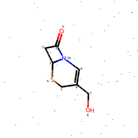 O=C1CC2SCC(CO)=CN12